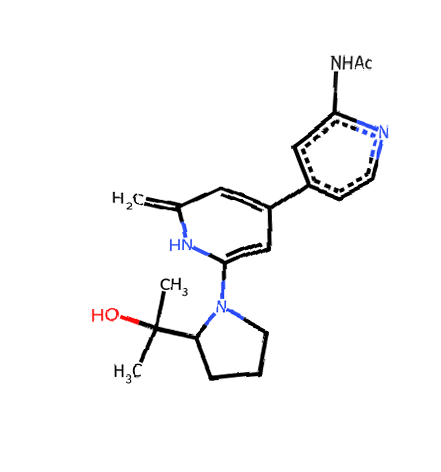 C=C1C=C(c2ccnc(NC(C)=O)c2)C=C(N2CCCC2C(C)(C)O)N1